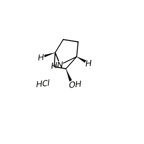 Cl.O[C@H]1C[C@@H]2CC[C@H]1N2